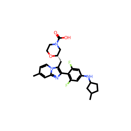 Cc1ccn2c(C[C@H]3CN(C(=O)O)CCO3)c(-c3c(F)cc(NC4CCC(C)C4)cc3F)nc2c1